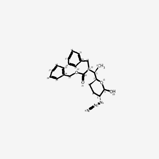 C[C@@H]([C@@H]1CC[C@@H](N=[N+]=[N-])C(O)O1)N(Cc1ccccc1)C(=O)OCc1ccccc1